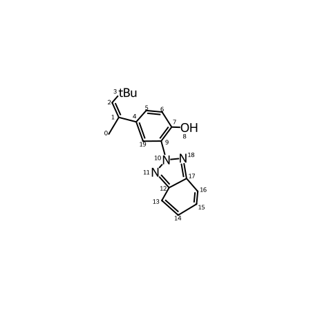 C/C(=C/C(C)(C)C)c1ccc(O)c(-n2nc3ccccc3n2)c1